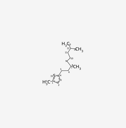 Cc1ccc(CCC(C)CCCC(C)C)s1